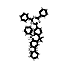 CC1(C)c2ccc(-c3nc(-c4ccccc4)nc(-c4ccccc4)n3)cc2P(=O)(c2ccccc2)c2cc3sc4ccccc4c3cc21